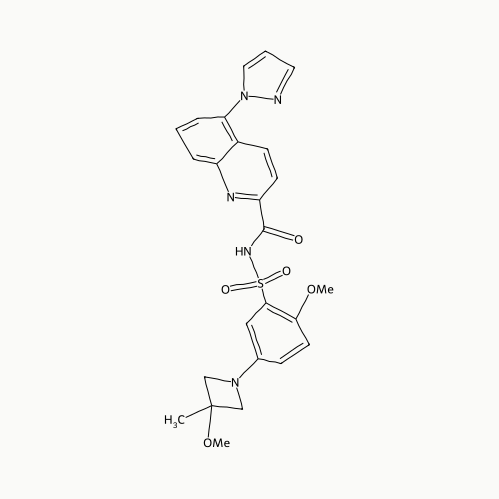 COc1ccc(N2CC(C)(OC)C2)cc1S(=O)(=O)NC(=O)c1ccc2c(-n3cccn3)cccc2n1